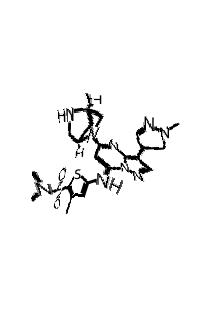 Cc1cc(Nc2cc(N3C[C@@H]4C[C@H]3CN4)nc3c(C4C=NN(C)C4)cnn23)sc1S(=O)(=O)N(C)C